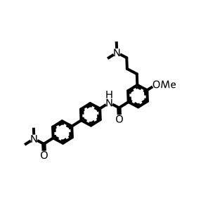 COc1ccc(C(=O)Nc2ccc(-c3ccc(C(=O)N(C)C)cc3)cc2)cc1CCCN(C)C